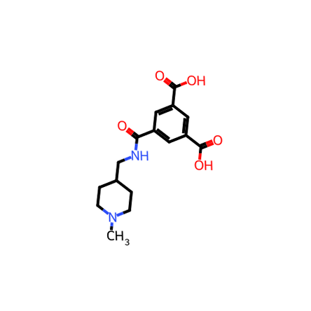 CN1CCC(CNC(=O)c2cc(C(=O)O)cc(C(=O)O)c2)CC1